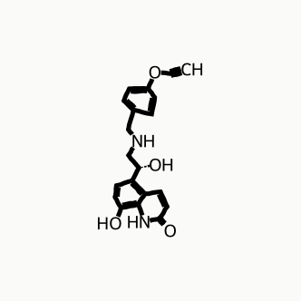 C#COc1ccc(CNC[C@H](O)c2ccc(O)c3[nH]c(=O)ccc23)cc1